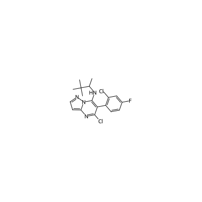 CC(Nc1c(-c2ccc(F)cc2Cl)c(Cl)nc2ccnn12)C(C)(C)C